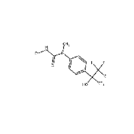 CCNC(=O)N(C)c1ccc(C(O)(C(F)(F)F)C(F)(F)Cl)cc1